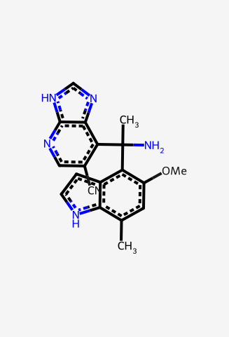 COc1cc(C)c2[nH]ccc2c1C(C)(N)c1c(C#N)cnc2[nH]cnc12